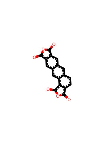 O=c1oc(=O)c2cc3cc4c(ccc5c(=O)oc(=O)c54)cc3cc12